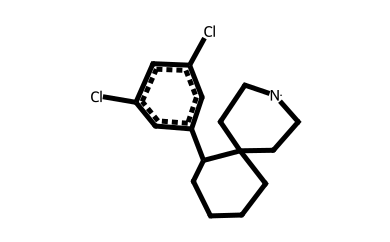 Clc1cc(Cl)cc(C2CCCCC23CC[N]CC3)c1